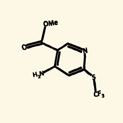 COC(=O)c1cnc(SC(F)(F)F)cc1N